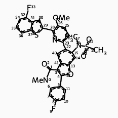 CNC(=O)c1c(-c2ccc(F)cc2)oc2cc(N(C)S(C)(=O)=O)c(-c3ccc(OC)c(-c4cc5c(F)cccc5s4)n3)cc12